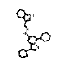 C(=N\Nc1cc(N2CCOCC2)n2ncc(-c3ccccn3)c2n1)/c1c[nH]c2ccccc12